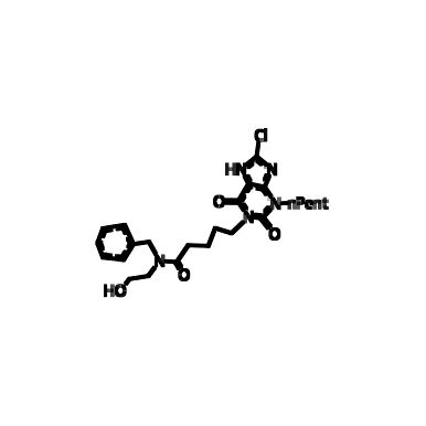 CCCCCn1c(=O)n(CCCCC(=O)N(CCO)Cc2ccccc2)c(=O)c2[nH]c(Cl)nc21